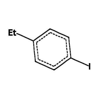 CCc1ccc(I)cc1